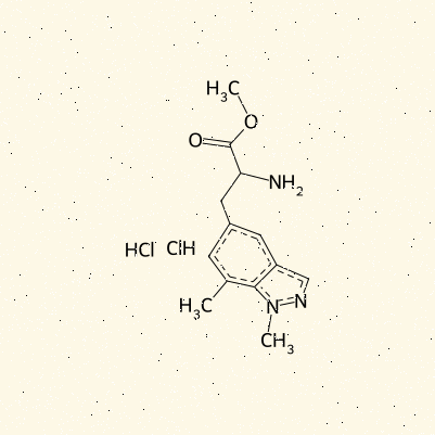 COC(=O)C(N)Cc1cc(C)c2c(cnn2C)c1.Cl.Cl